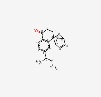 CCC(C)c1ccc2c(c1)C1(CCC2=O)CC2C=CC1C2